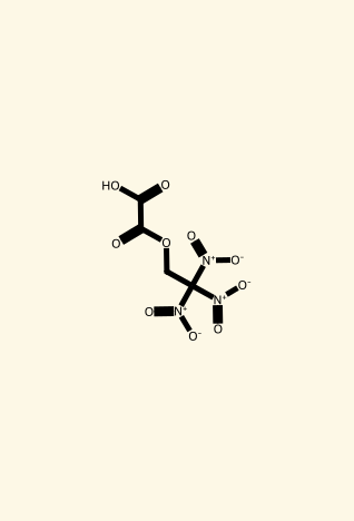 O=C(O)C(=O)OCC([N+](=O)[O-])([N+](=O)[O-])[N+](=O)[O-]